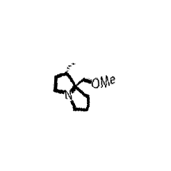 COC[C@@]12CCCN1CC[C@@H]2C